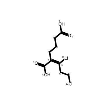 O=C(O)CCCC(C(=O)O)=C(Cl)CCCl